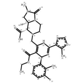 CCOC(=O)C1=C(CN2CCN3C(=S)N(C)C[C@@H]3[C@H]2C(=O)O)NC(c2ncoc2C)=N[C@H]1c1cccc(F)c1C